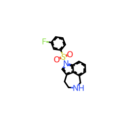 O=S(=O)(c1cccc(F)c1)n1cc2c3c(cccc31)CNCC2